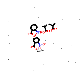 C=C(C)C(=O)O.C=C(C)C(=O)O.O=C([O-])c1ccccc1[N+](=O)[O-].O=C([O-])c1ccccc1[N+](=O)[O-].[Cu+2]